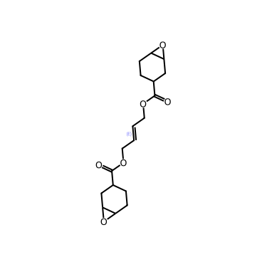 O=C(OC/C=C/COC(=O)C1CCC2OC2C1)C1CCC2OC2C1